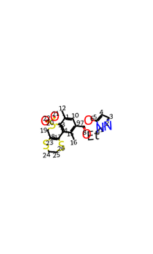 CCn1nccc1OC(=O)c1cc(C)c2c(c1C)C1=C(CS2(=O)=O)SCCS1